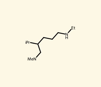 CCNCCCC(CNC)C(C)C